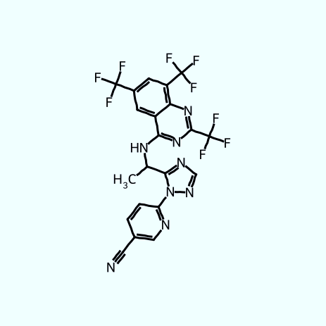 CC(Nc1nc(C(F)(F)F)nc2c(C(F)(F)F)cc(C(F)(F)F)cc12)c1ncnn1-c1ccc(C#N)cn1